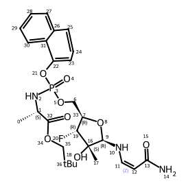 C[C@H](NP(=O)(OC[C@H]1O[C@@H](N/C=C\C(N)=O)[C@](C)(O)[C@@H]1F)Oc1cccc2ccccc12)C(=O)OCC(C)(C)C